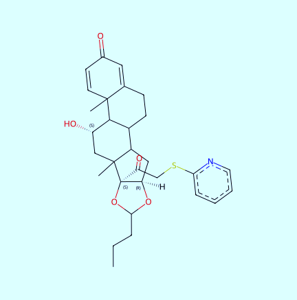 CCCC1O[C@@H]2CC3C4CCC5=CC(=O)C=CC5(C)C4[C@@H](O)CC3(C)[C@]2(C(=O)CSc2ccccn2)O1